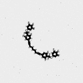 Fc1cc(OC(F)(F)c2c(F)cc(C#CCCCCCC#Cc3cc(F)c(C(F)(F)Oc4cc(F)c(F)c(F)c4)c(F)c3)cc2F)cc(F)c1F